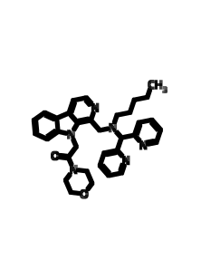 CCCCCN(Cc1nccc2c3ccccc3n(CC(=O)N3CCOCC3)c12)C(c1ccccn1)c1ccccn1